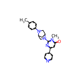 Cc1ccc(N2CC3CC2CN3c2nc(-c3ccncc3)cc(=O)n2C)cc1